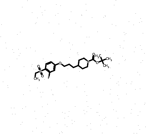 CCS(=O)(=O)c1ccc(OCCCC2CCN(C(=O)OC(C)(C)C)CC2)cc1F